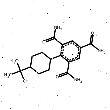 CC(C)(C)C1CCC(c2c(C(N)=O)cc(C(N)=O)cc2C(N)=O)CC1